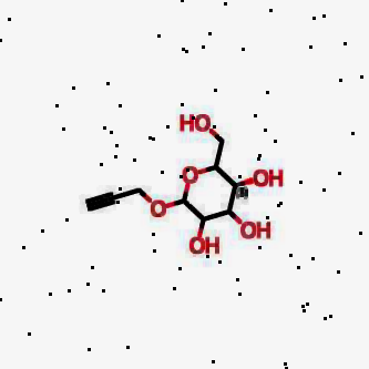 C#CCOC1OC(CO)[C@@H](O)C(O)C1O